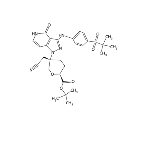 CC(C)(C)OC(=O)[C@@H]1CC[C@@](CC#N)(n2nc(Nc3ccc(S(=O)(=O)C(C)(C)C)cc3)c3c(=O)[nH]ccc32)CO1